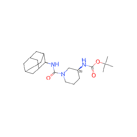 CC(C)(C)OC(=O)N[C@H]1CCCN(C(=O)NC2C3CC4CC(C3)CC2C4)C1